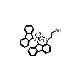 C[Si](C)=[Zr]([Cl])([Cl])([CH]1c2ccccc2-c2ccccc21)[CH]1c2ccccc2-c2cccc(OCCO)c21